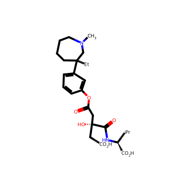 CCC1(c2cccc(OC(=O)C[C@](O)(CC(=O)O)C(=O)N[C@H](C(=O)O)C(C)C)c2)CCCCN(C)C1